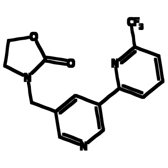 O=C1OCCN1Cc1cncc(-c2cccc(C(F)(F)F)n2)c1